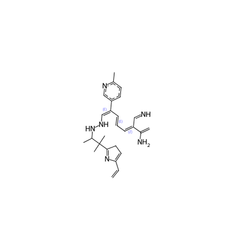 C=CC1=CCC(C(C)(C)C(C)NN\C=C(/C=C/C=C(\C=N)C(=C)N)c2ccc(C)nc2)=N1